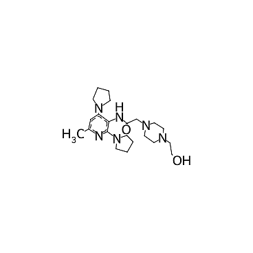 Cc1cc(N2CCCC2)c(NC(=O)CN2CCN(CCO)CC2)c(N2CCCC2)n1